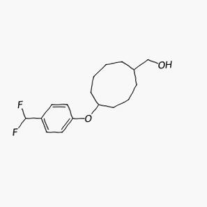 OCC1CCCCC(Oc2ccc(C(F)F)cc2)CCC1